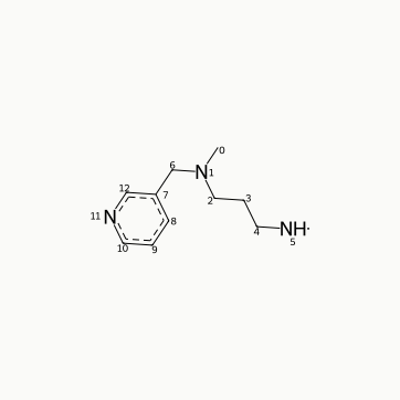 CN(CCC[NH])Cc1cccnc1